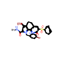 CC(C)NC(=O)c1c(Br)c2c(n1Cc1ccc(Br)cc1)-c1[nH]c(=O)c(S(=O)(=O)c3ccccc3)cc1CC2